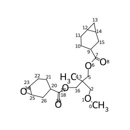 COCC(C)(COC(=O)C1CCC2CC2C1)COC(=O)C1CCC2OC2C1